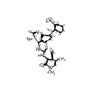 CC1=CN(C)C(=O)C(NC(=O)NC(CC(=O)[O-])c2cccc(Cc3ccccc3Cl)c2)C1=O.[Na+]